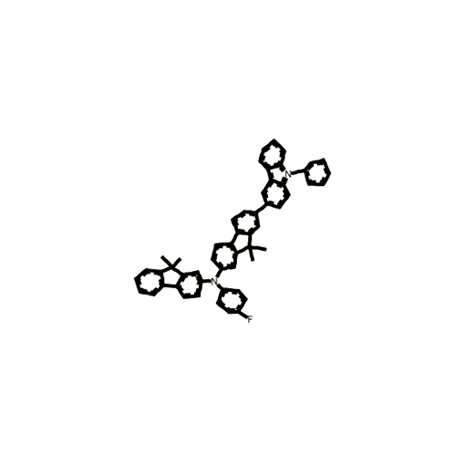 CC1(C)c2ccccc2-c2ccc(N(c3ccc(F)cc3)c3ccc4c(c3)C(C)(C)c3cc(-c5ccc6c(c5)c5ccccc5n6-c5ccccc5)ccc3-4)cc21